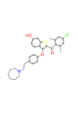 Cc1cc(Cl)cc(C)c1C(=O)c1sc2cc(O)ccc2c1Oc1ccc(CCN2CCCCCC2)cc1